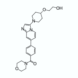 O=C(c1ccc(-c2ccn3c(N4CCC(OCCO)CC4)cnc3c2)cc1)N1CCOCC1